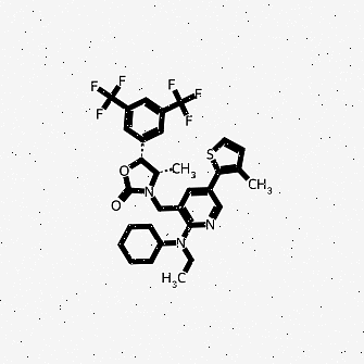 CCN(c1ncc(-c2sccc2C)cc1CN1C(=O)O[C@H](c2cc(C(F)(F)F)cc(C(F)(F)F)c2)[C@@H]1C)C1CCCCC1